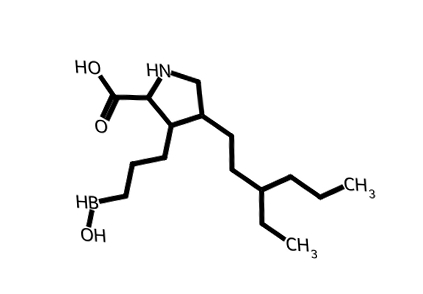 CCCC(CC)CCC1CNC(C(=O)O)C1CCCBO